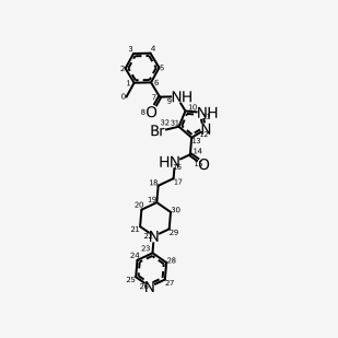 Cc1ccccc1C(=O)Nc1[nH]nc(C(=O)NCCC2CCN(c3ccncc3)CC2)c1Br